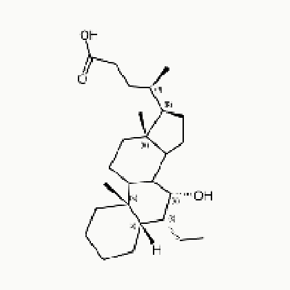 CC[C@H]1[C@@H](O)C2C3CC[C@H]([C@H](C)CCC(=O)O)[C@@]3(C)CCC2[C@@]2(C)CCCC[C@@H]12